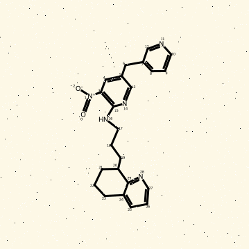 O=[N+]([O-])c1cc(Cc2cccnc2)cnc1NCCCC1CCCc2cccnc21